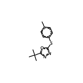 Cc1ccc(Sc2nnc(C(C)(C)C)o2)cc1